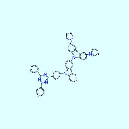 c1ccc(-c2nc(-c3ccccc3)nc(-c3ccc(-n4c5ccccc5c5cc(-n6c7ccc(-n8cccc8)cc7c7cc(-n8cccc8)ccc76)ccc54)cc3)n2)cc1